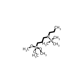 CCCN(CCC[Si](OC)(OC)OC)[Si](C)(C)C